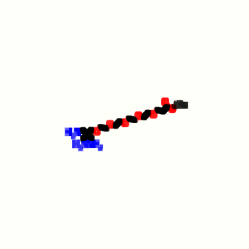 CC(C)(C)OC(=O)CCOCCOCCOCCOCCOCC(CN)(CN)CN